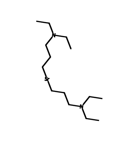 CCN(CC)CC[CH2][Sr][CH2]CCN(CC)CC